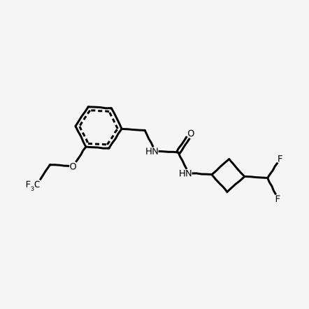 O=C(NCc1cccc(OCC(F)(F)F)c1)NC1CC(C(F)F)C1